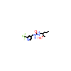 CCCC(CNC(=O)NCc1ccnc(C(F)(F)F)c1)C(C)O